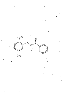 CC(=O)Oc1ccc(OC(C)=O)c(COC(=O)c2ccccc2)c1